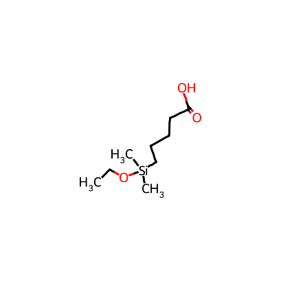 CCO[Si](C)(C)CCCCC(=O)O